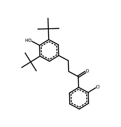 CC(C)(C)c1cc(CCC(=O)c2ccccc2Cl)cc(C(C)(C)C)c1O